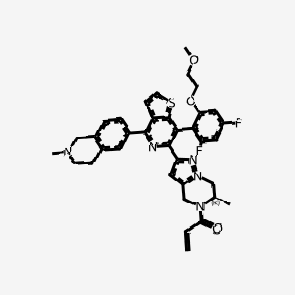 C=CC(=O)N1Cc2cc(-c3nc(-c4ccc5c(c4)CCN(C)C5)c4ccsc4c3-c3c(F)cc(F)cc3OCCOC)nn2C[C@H]1C